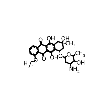 COc1cccc2c1C(=O)c1c(O)c3c(c(O)c1C2=O)C[C@](C)(O)C[C@@H]3OC1CC(N)C(O)C(C)O1